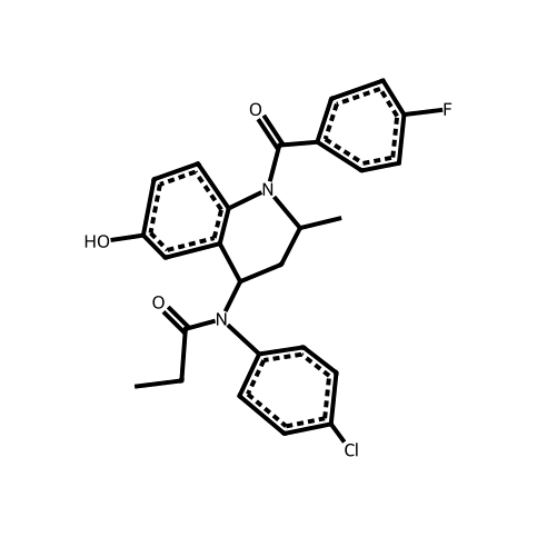 CCC(=O)N(c1ccc(Cl)cc1)C1CC(C)N(C(=O)c2ccc(F)cc2)c2ccc(O)cc21